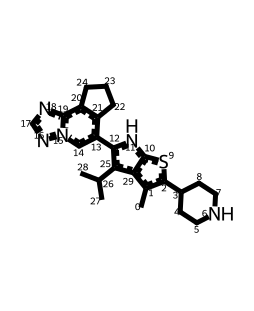 Cc1c(C2CCNCC2)sc2[nH]c(-c3cn4ncnc4c4c3CCC4)c(C(C)C)c12